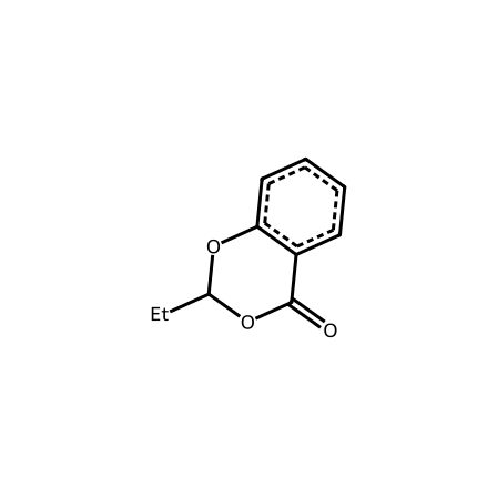 CCC1OC(=O)c2ccccc2O1